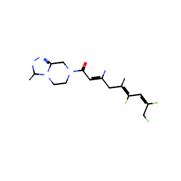 CC/C(C/C(N)=C/C(=O)N1CCN2C(=NNC2C(F)(F)F)C1)=C(F)\C=C(\F)CF